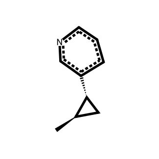 C[C@@H]1C[C@H]1c1cccnc1